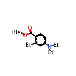 CCCCCCOC(=O)c1ccc(N(CC)CC)cc1CC